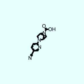 N#Cc1ccc(N2CC3CC2CN3C(=O)O)nc1